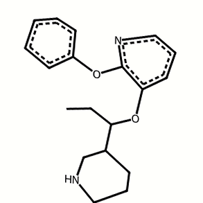 CCC(Oc1cccnc1Oc1ccccc1)C1CCCNC1